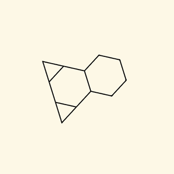 C1CCC2C(C1)C1CC1C1CC21